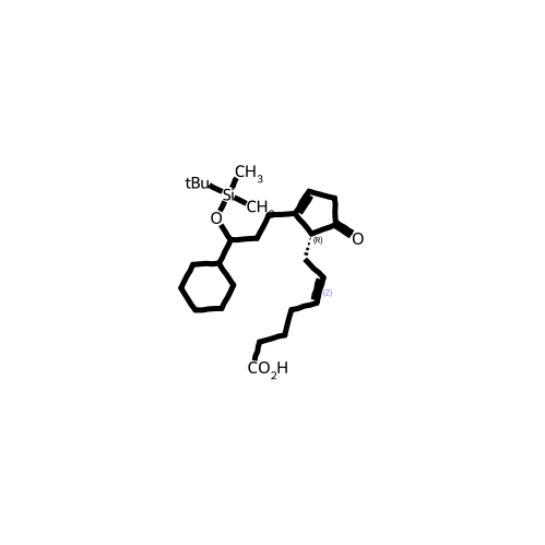 CC(C)(C)[Si](C)(C)OC(CCC1=CCC(=O)[C@@H]1C/C=C\CCCC(=O)O)C1CCCCC1